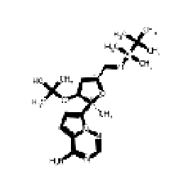 CC(C)(O)OC1C[C@@H](CO[Si](C)(C)C(C)(C)C)O[C@@]1(C)c1ccc2c(N)ncnn12